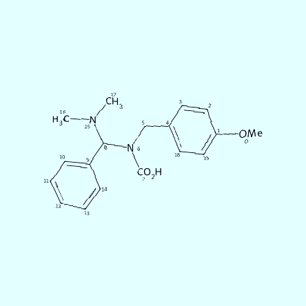 COc1ccc(CN(C(=O)O)C(c2ccccc2)N(C)C)cc1